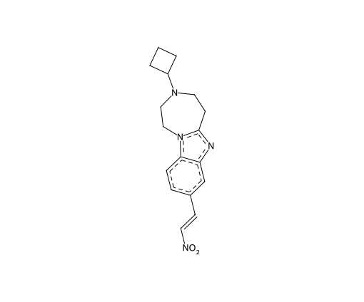 O=[N+]([O-])/C=C/c1ccc2c(c1)nc1n2CCN(C2CCC2)CC1